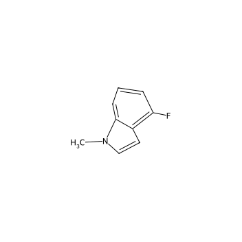 Cn1ccc2c(F)cccc21